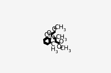 COCC(=O)N(c1c(C)cccc1C)C(C)CC(=O)OC